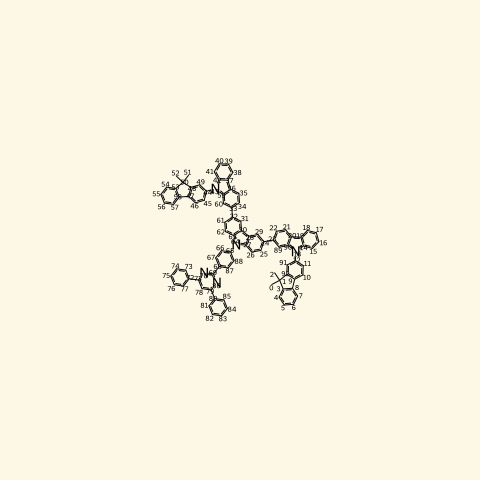 CC1(C)c2ccccc2-c2ccc(-n3c4ccccc4c4ccc(-c5ccc6c(c5)c5cc(-c7ccc8c9ccccc9n(-c9ccc%10c(c9)C(C)(C)c9ccccc9-%10)c8c7)ccc5n6-c5ccc(-c6nc(-c7ccccc7)cc(-c7ccccc7)n6)cc5)cc43)cc21